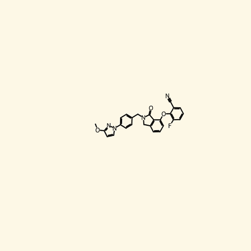 COc1ccn(-c2ccc(CN3Cc4cccc(Oc5c(F)cccc5C#N)c4C3=O)cc2)n1